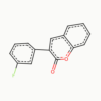 O=c1oc2c[c]ccc2cc1-c1cccc(F)c1